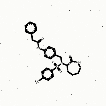 O=C(Cc1ccccc1)Nc1ccc(CN(C2CCCCNC2=O)S(=O)(=O)c2ccc(C(F)(F)F)cc2)cc1